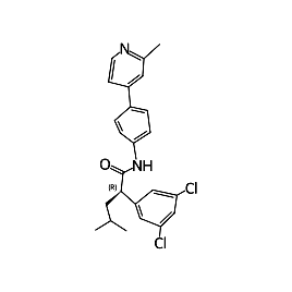 Cc1cc(-c2ccc(NC(=O)[C@H](CC(C)C)c3cc(Cl)cc(Cl)c3)cc2)ccn1